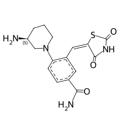 NC(=O)c1ccc(N2CCC[C@H](N)C2)c(C=C2SC(=O)NC2=O)c1